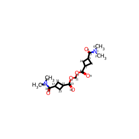 CN(C)C(=O)C1CC(C(=O)OCOC(=O)C2CC(C(=O)N(C)C)C2)C1